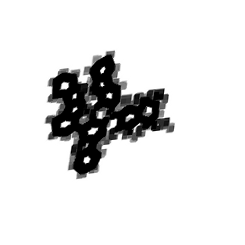 Cc1cc2c(cc1N1c3cc4c(oc5ccccc54)c4c3B(c3c1ccc1c3sc3ccccc31)n1c3oc5ccccc5c3c3cccc-4c31)C(C)(C)CCC2(C)C